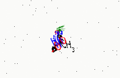 CC(CNOCc1ccccc1)NC(=O)c1ccc(-c2noc(C(F)(F)F)n2)cc1